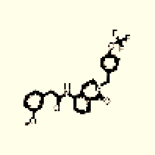 COc1cccc(CC(=O)Nc2cccc3c(=O)n(Cc4ccc(OC(F)(F)F)cc4)ccc23)c1